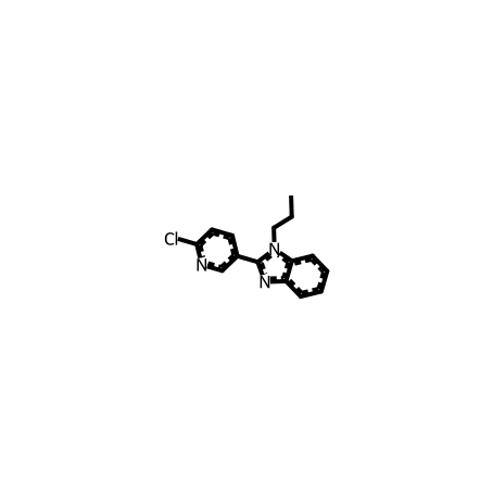 CCCn1c(-c2ccc(Cl)nc2)nc2ccccc21